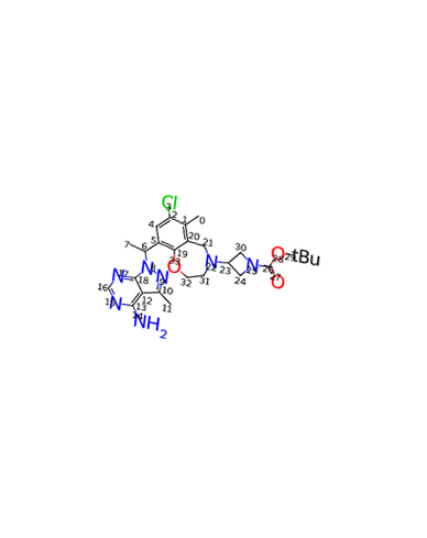 Cc1c(Cl)cc(C(C)n2nc(C)c3c(N)ncnc32)c2c1CN(C1CN(C(=O)OC(C)(C)C)C1)CCO2